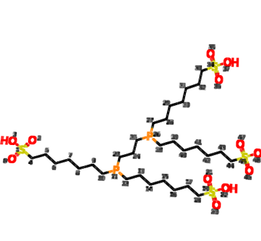 O=S(=O)(O)CCCCCCCP(CCCCCCCS(=O)(=O)O)CCCP(CCCCCCCS(=O)(=O)O)CCCCCCCS(=O)(=O)O